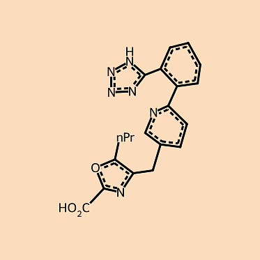 CCCc1oc(C(=O)O)nc1Cc1ccc(-c2ccccc2-c2nnn[nH]2)nc1